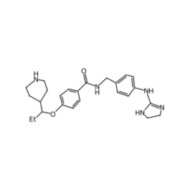 CCC(Oc1ccc(C(=O)NCc2ccc(NC3=NCCN3)cc2)cc1)C1CCNCC1